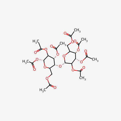 CC(=O)OCC1O[C@H](OC(C)=O)C(OC(C)=O)[C@H](OC(C)=O)[C@@H]1O[C@@H]1OC(COC(C)=O)[C@H](OC(C)=O)[C@H](OC(C)=O)C1OC(C)=O